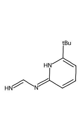 CC(C)(C)c1ccc/c(=N/C=N)[nH]1